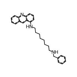 c1ccc(CNCCCCCCCCNc2cccc3nc4ccccc4cc23)cc1